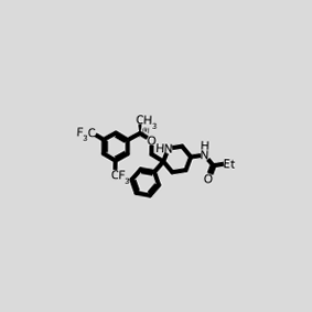 CCC(=O)NC1CCC(CO[C@H](C)c2cc(C(F)(F)F)cc(C(F)(F)F)c2)(c2ccccc2)NC1